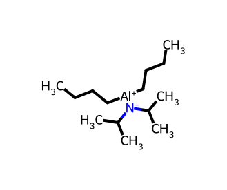 CC(C)[N-]C(C)C.CCC[CH2][Al+][CH2]CCC